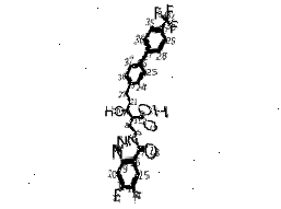 O=C(O)C(CCn1nnc2cc(F)c(F)cc2c1=O)[C@H](O)CCc1ccc(-c2ccc(C(F)(F)F)cc2)cc1